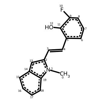 Cn1c(C=Cc2cccc(F)c2O)cc2ccccc21